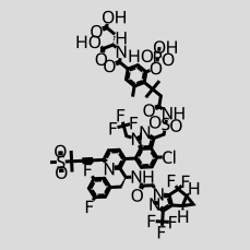 Cc1cc(C(=O)N[C@@H](CC(=O)O)C(=O)O)cc(OP(=O)(O)O)c1C(C)(C)CC(=O)NS(=O)(=O)Cc1nn(CC(F)(F)F)c2c(-c3ccc(C#CC(C)(C)S(C)(=O)=O)nc3[C@H](Cc3cc(F)cc(F)c3)NC(=O)Cn3nc(C(F)(F)F)c4c3C(F)(F)[C@@H]3C[C@H]43)ccc(Cl)c12